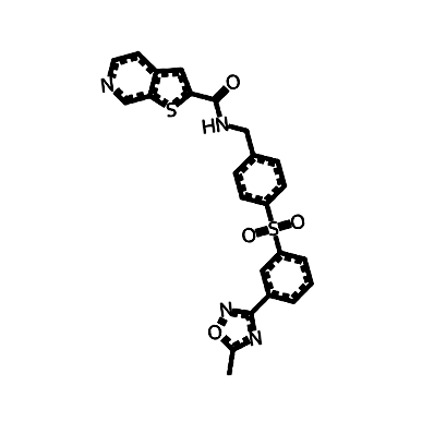 Cc1nc(-c2cccc(S(=O)(=O)c3ccc(CNC(=O)c4cc5ccncc5s4)cc3)c2)no1